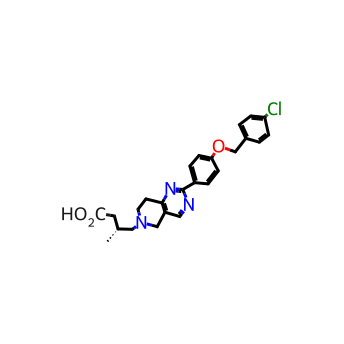 C[C@H](CC(=O)O)CN1CCc2nc(-c3ccc(OCc4ccc(Cl)cc4)cc3)ncc2C1